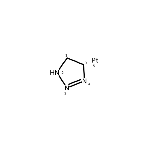 C1CNN=N1.[Pt]